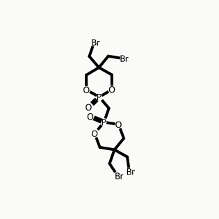 O=P1(CP2(=O)OCC(CBr)(CBr)CO2)OCC(CBr)(CBr)CO1